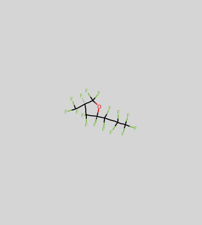 FC(F)(F)C(F)(F)C(F)(F)[C@@]1(F)OC(F)(F)[C@](F)(C(F)(F)F)C1(F)F